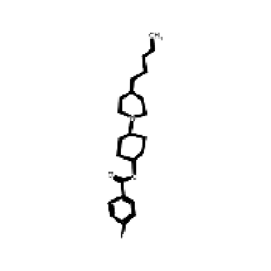 CCCCCC1CCN(C2CCC(OC(=O)c3ccc(F)cc3)CC2)CC1